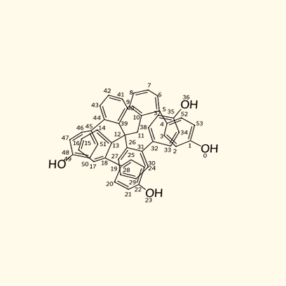 Oc1ccc(-c2ccccc2CC(c2ccccc2-c2ccc(O)cc2)(c2ccccc2-c2ccc(O)cc2)c2ccccc2-c2ccc(O)cc2)cc1